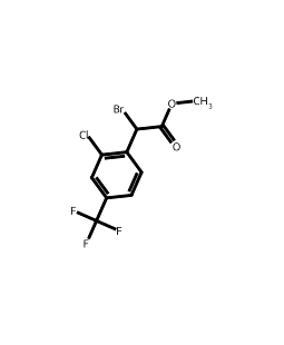 COC(=O)C(Br)c1ccc(C(F)(F)F)cc1Cl